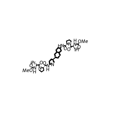 COC(=O)N[C@H](C(=O)N1CCC[C@H]1C(=O)Nc1ccc2cc(-c3ccc(NC(=O)[C@@H]4CCCN4C(=O)[C@@H](NC(=O)OC)C(C)C)nc3)ccc2c1)C(C)C